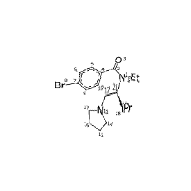 CCN(C(=O)c1ccc(Br)cc1)[C@H](CN1CCCC1)C(C)C